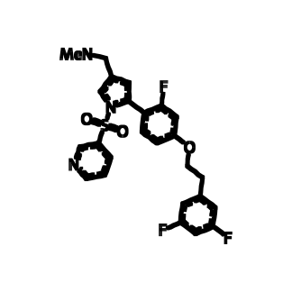 CNCc1cc(-c2ccc(OCCc3cc(F)cc(F)c3)cc2F)n(S(=O)(=O)c2cccnc2)c1